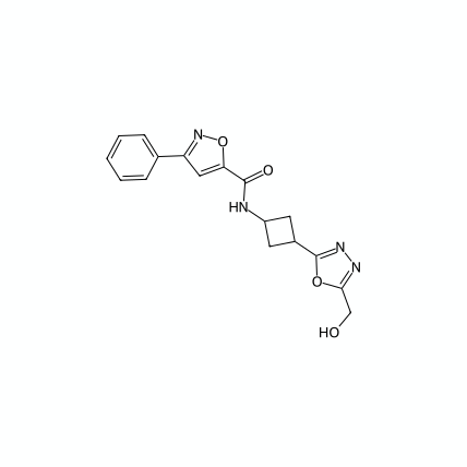 O=C(NC1CC(c2nnc(CO)o2)C1)c1cc(-c2ccccc2)no1